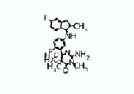 CC1Cc2cc(F)ccc2C1Nc1ccc(F)c([C@@]2(C)N=C(N)N(C)C(=O)C2(C)C)c1